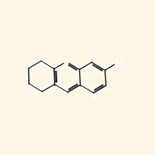 Clc1ccc2cc3c(nc2c1)CCCC3